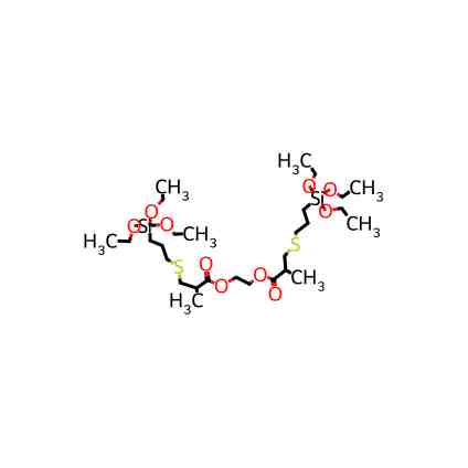 CCO[Si](CCCSCC(C)C(=O)OCCOC(=O)C(C)CSCCC[Si](OCC)(OCC)OCC)(OCC)OCC